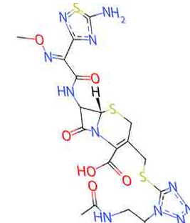 CON=C(C(=O)NC1C(=O)N2C(C(=O)O)=C(CSc3nnnn3C(C)CNC(C)=O)CS[C@@H]12)c1nsc(N)n1